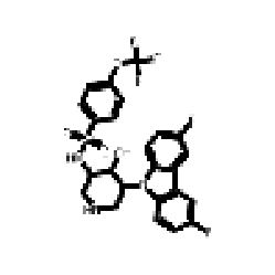 N=S(=O)(NC1CNCC(n2c3ccc(F)cc3c3cc(F)ccc32)C1O)c1ccc(OC(F)(F)F)cc1